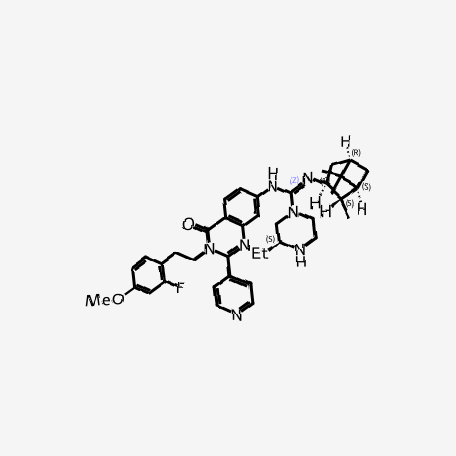 CC[C@H]1CN(/C(=N\[C@H]2C[C@H]3C[C@@H]([C@@H]2C)C3(C)C)Nc2ccc3c(=O)n(CCc4ccc(OC)cc4F)c(-c4ccncc4)nc3c2)CCN1